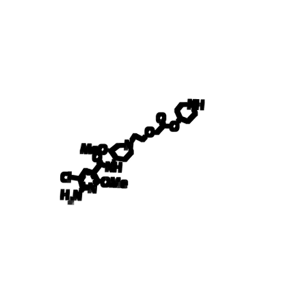 COc1nc(N)c(Cl)cc1C(=O)N[C@H]1CCN(CCOCC(=O)OC2CCNCC2)C[C@H]1OC